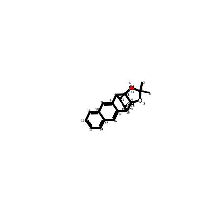 CC1(C)OC2C(O1)C1c3cc4ccccc4cc3C2C(S)C1Cl